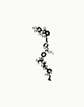 CN(C[C@@H]1CN(CCCNc2cccc3c2C(=O)N(C2CCC(O)NC2=O)C3=O)CCO1)C[C@H]1CC[C@H](n2cc(NC(=O)c3coc(-c4ccnc(NCC5CC5)c4)n3)c(C(F)F)n2)CC1